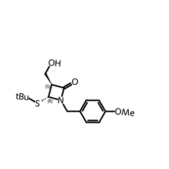 COc1ccc(CN2C(=O)[C@H](CO)[C@H]2SC(C)(C)C)cc1